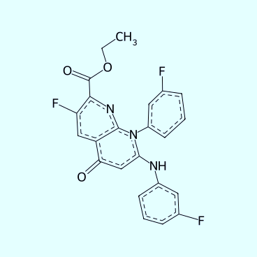 CCOC(=O)c1nc2c(cc1F)c(=O)cc(Nc1cccc(F)c1)n2-c1cccc(F)c1